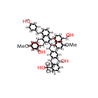 COc1ccc(Cc2c([C](Cc3cccc(CO)c3)Cc3ccc(CO)c(Cc4ccccc4C(C)(C)O)c3)c(Cc3cccc(OC)c3)c3cccc(Cc4ccc(O)cc4)c3c2Cc2cccc(O)c2)cc1